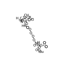 Cc1sc2c(c1C)C(c1ccc(Cl)cc1)=N[C@@H](CC(=O)Nc1ccc(OCCOCCOCCOCCNC(=O)[C@@H](CCC(=O)OC(C)(C)C)NC(=O)OCC3c4ccccc4-c4ccccc43)cc1)c1nnc(C)n1-2